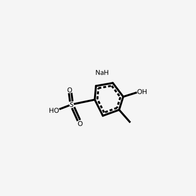 Cc1cc(S(=O)(=O)O)ccc1O.[NaH]